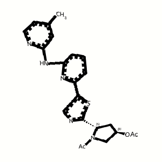 CC(=O)O[C@@H]1C[C@@H](c2ncc(-c3cccc(Nc4cc(C)ccn4)n3)s2)N(C(C)=O)C1